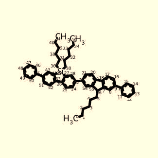 CCCCCCC1c2cc(-c3ccccc3)ccc2-c2ccc(-c3ccc4c(c3)[Si](CCCCCC)(CCCCCC)c3cc(-c5ccccc5)ccc3-4)cc21